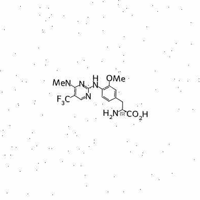 CNc1nc(Nc2ccc(C[C@H](N)C(=O)O)cc2OC)ncc1C(F)(F)F